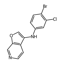 Clc1cc(Nc2coc3cnccc23)ccc1Br